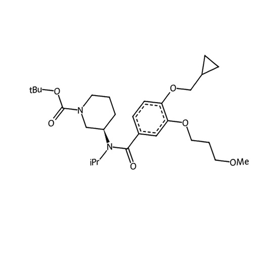 COCCCOc1cc(C(=O)N(C(C)C)[C@@H]2CCCN(C(=O)OC(C)(C)C)C2)ccc1OCC1CC1